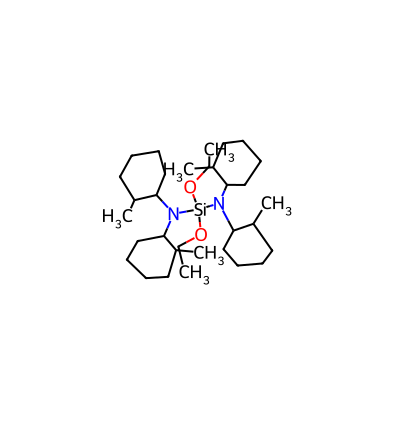 CCO[Si](OCC)(N(C1CCCCC1C)C1CCCCC1C)N(C1CCCCC1C)C1CCCCC1C